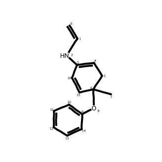 C=CNC1=CCC(C)(Oc2ccccc2)C=C1